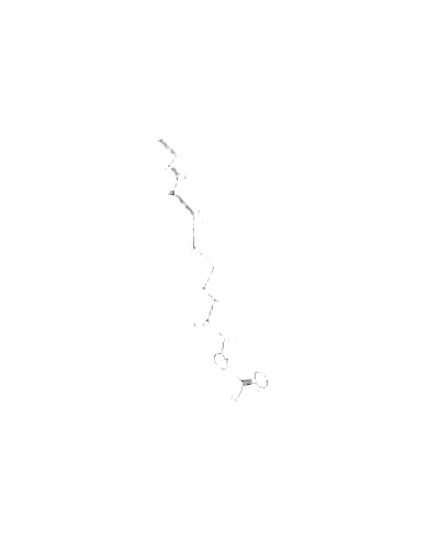 C=CC=CC=CCCCCCCOC(C)=O